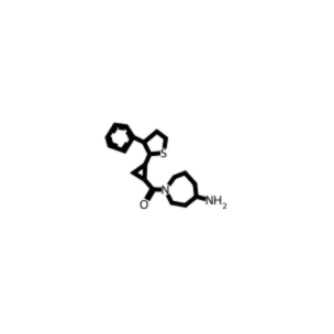 NC1CCCN(C(=O)C2CC2C2SCCC2c2ccccc2)CC1